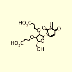 O=C(O)CCO[C@@H]1[C@H](OCCC(=O)O)[C@@H](CO)O[C@H]1n1ccc(=O)[nH]c1=O